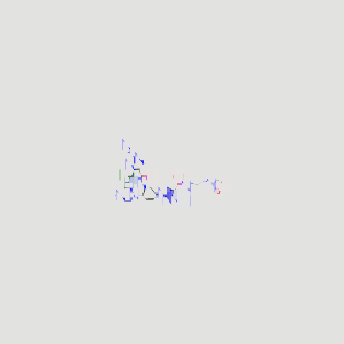 CN1CCN(c2ccc(-n3cc(C(=O)NCCCN4CCOCC4)nn3)cc2NC(=O)c2cnc(C#N)nc2C(F)(F)F)CC1